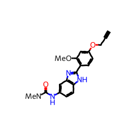 C#CCOc1ccc(-c2nc3cc(NC(=O)NC)ccc3[nH]2)c(OC)c1